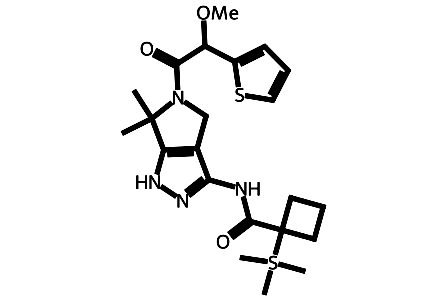 COC(C(=O)N1Cc2c(NC(=O)C3(S(C)(C)C)CCC3)n[nH]c2C1(C)C)c1cccs1